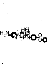 Cl.Cl.NCc1ccc(N2CCN(C(=O)N[C@H]3CC[C@H](C(=O)OC4CCCC4)CC3)CC2)nc1